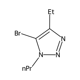 CCCn1nnc(CC)c1Br